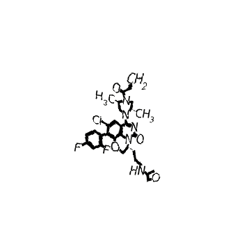 C=CC(=O)N1C[C@H](C)N(c2nc(=O)n3c4c(c(-c5ccc(F)cc5F)c(Cl)cc24)OC[C@H]3CCCNC2COC2)C[C@H]1C